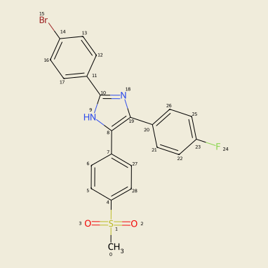 CS(=O)(=O)c1ccc(-c2[nH]c(-c3ccc(Br)cc3)nc2-c2ccc(F)cc2)cc1